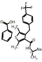 Cc1sc(C)c(C(=O)N[C@H](C)[Na])c1Cc1ccc(C(F)(F)F)cc1.O=C(O)c1ccccc1